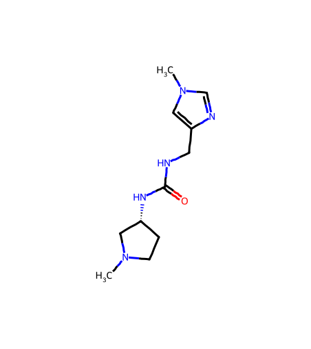 CN1CC[C@@H](NC(=O)NCc2cn(C)cn2)C1